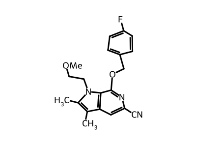 COCCn1c(C)c(C)c2cc(C#N)nc(OCc3ccc(F)cc3)c21